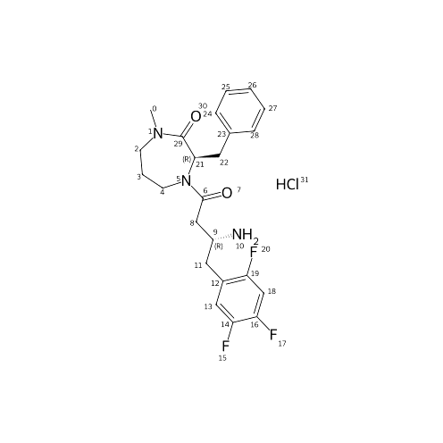 CN1CCCN(C(=O)C[C@H](N)Cc2cc(F)c(F)cc2F)[C@H](Cc2ccccc2)C1=O.Cl